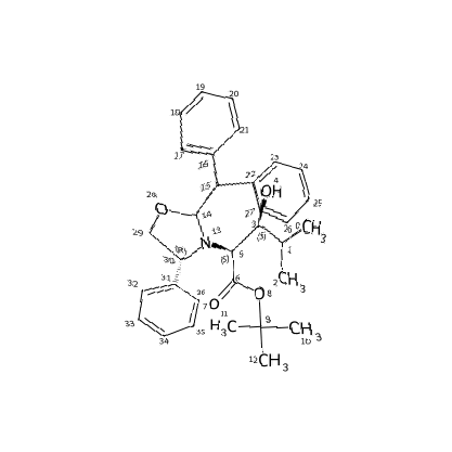 CC(C)[C@H](O)[C@@H](C(=O)OC(C)(C)C)N1C(C(c2ccccc2)c2ccccc2)OC[C@H]1c1ccccc1